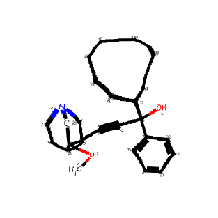 COC1(C#CC(O)(c2ccccc2)C2CCCCCCC2)CN2CCC1CC2